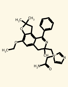 CCOc1cc2c(c3c1OC(C)(C)C3)C(c1ccccc1)=NC(C)(C[N+]1(CC(N)=O)C=CN=C1)C2